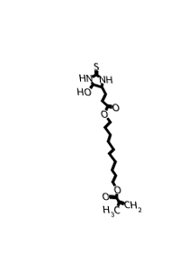 C=C(C)C(=O)OCCCCCCCCCCOC(=O)CCC1NC(=S)NC1O